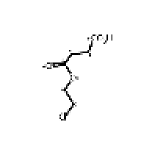 O=C(O)CCC(=O)OCCCl